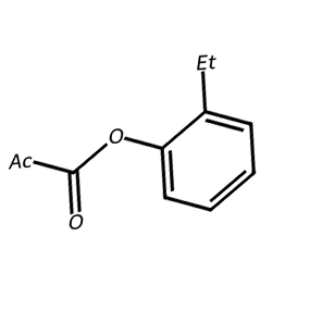 CCc1ccccc1OC(=O)C(C)=O